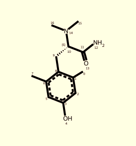 Cc1cc(O)cc(C)c1C[C@@H](C(N)=O)N(C)C